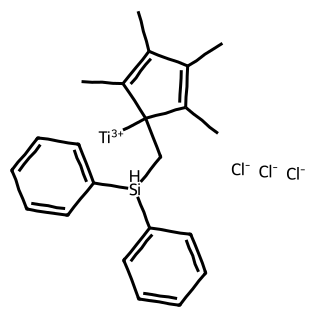 CC1=C(C)[C]([Ti+3])(C[SiH](c2ccccc2)c2ccccc2)C(C)=C1C.[Cl-].[Cl-].[Cl-]